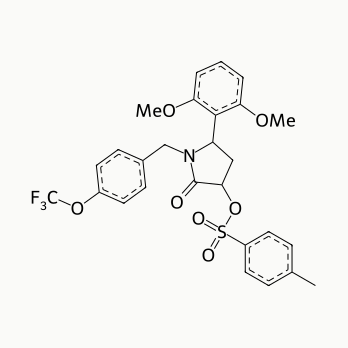 COc1cccc(OC)c1C1CC(OS(=O)(=O)c2ccc(C)cc2)C(=O)N1Cc1ccc(OC(F)(F)F)cc1